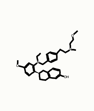 CCN(Cc1ccc(CCN(C)CCOC)cc1)c1cc(OC)ccc1[C@@H]1CCc2cc(O)ccc2C1